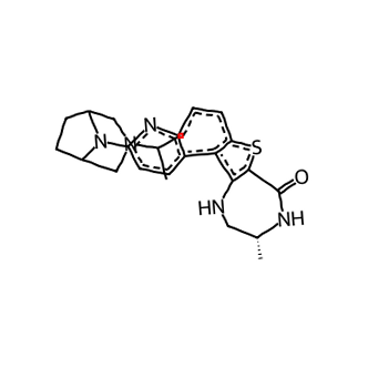 CC(C)N1CC2CCC(C1)N2c1ccc2c(ccc3sc4c(c32)NC[C@@H](C)NC4=O)n1